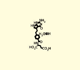 Nc1nc(=O)c2c(CCc3ccc(C(=O)N[C@@H](CCC(=O)O)C(=O)O)cc3)c[nH]c2[nH]1.O.[KH].[KH]